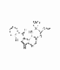 COCC1(C)Nc2c(cnc3[nH]cc(C(=O)c4ccccc4Cl)c23)N=C1OC